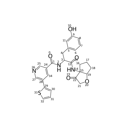 O=C(NC(Cc1cccc(O)c1)C(=O)NC12CCCC1OCC2=O)c1cncc(-c2cccs2)c1